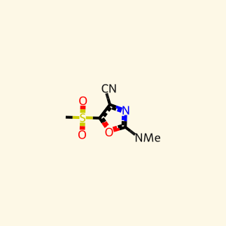 CNc1nc(C#N)c(S(C)(=O)=O)o1